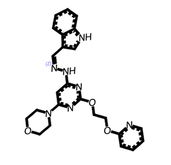 C(=N/Nc1cc(N2CCOCC2)nc(OCCOc2ccccn2)n1)/c1c[nH]c2ccccc12